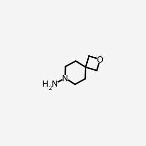 NN1CCC2(CC1)COC2